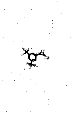 OC1OC1c1cc(C(F)(F)F)cc(C(F)(F)F)c1